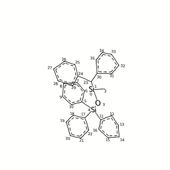 C[Si](C)(O[Si](c1ccccc1)(c1ccccc1)c1ccccc1)C(c1ccccc1)c1ccccc1